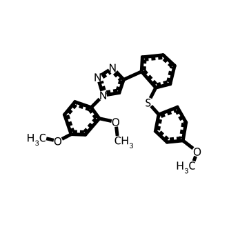 COc1ccc(Sc2ccccc2-c2cn(-c3ccc(OC)cc3OC)nn2)cc1